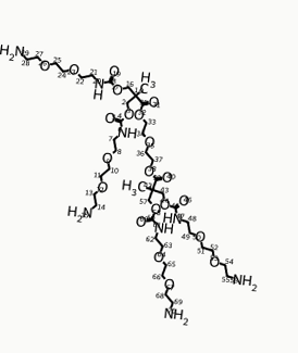 CC(COC(=O)NCCOCCOCCN)(COC(=O)NCCOCCOCCN)C(=O)OCCOCCOC(=O)C(C)(COC(=O)NCCOCCOCCN)COC(=O)NCCOCCOCCN